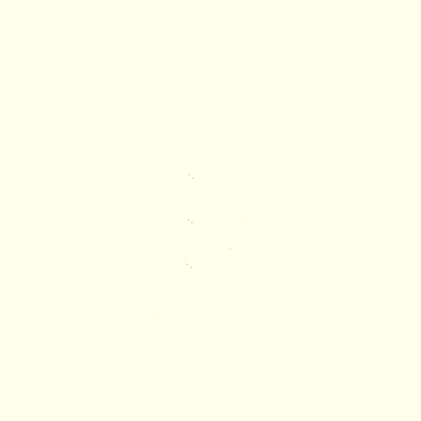 OCCNc1cc(I)cc(N2CCOCC2)n1